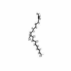 [CH2]C#CCCCCCCC(C)CCCCCCCC[CH2]